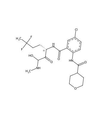 CNC(O)C(=O)[C@H](CCC(C)(F)F)NC(=O)c1cc(Cl)ccc1NC(=O)C1CCOCC1